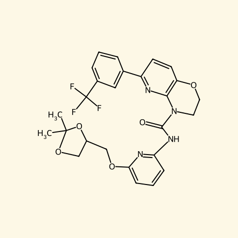 CC1(C)OCC(COc2cccc(NC(=O)N3CCOc4ccc(-c5cccc(C(F)(F)F)c5)nc43)n2)O1